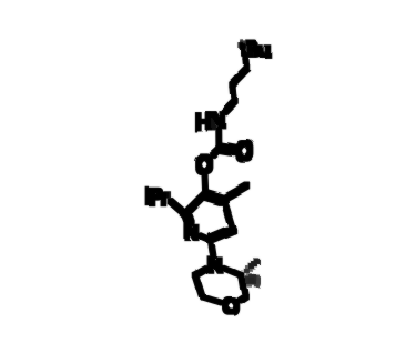 Cc1cc(N2CCOC[C@H]2C)nc(C(C)C)c1OC(=O)NCCCC(C)(C)C